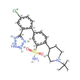 CC(C)(C)N1CCC(c2ccc(-c3ccc(Cl)cc3-c3nn[nH]n3)cc2S(N)(=O)=O)CC1